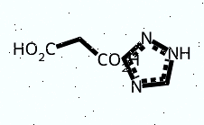 O=C(O)CC(=O)O.c1nc[nH]n1